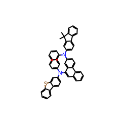 CC1(C)c2ccccc2-c2ccc(N(c3ccccc3)c3ccc4c(c3)c(N(c3ccccc3)c3ccc5c(c3)sc3ccccc35)cc3ccccc34)cc21